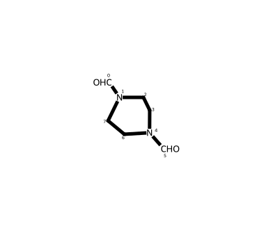 O=CN1CCN(C=O)CC1